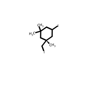 CC1(C)CC(I)C[C@](C)(CI)C1